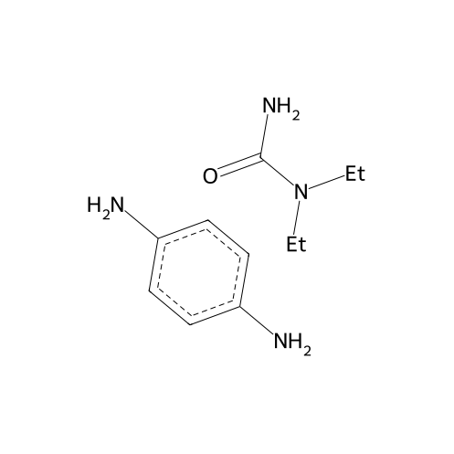 CCN(CC)C(N)=O.Nc1ccc(N)cc1